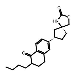 CCCCC1CCc2cc([C@H]3CC[C@]4(COC(=O)N4)C3)ccc2C1=O